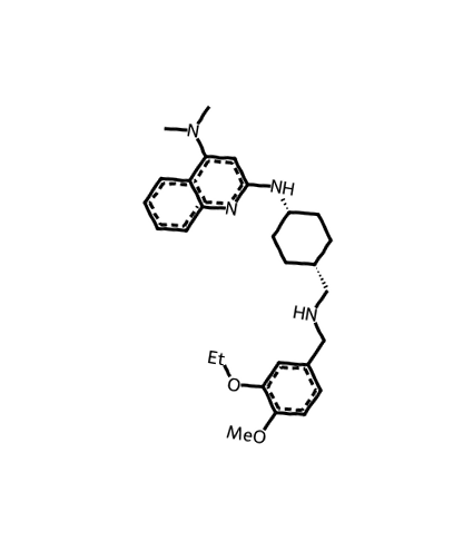 CCOc1cc(CNC[C@H]2CC[C@@H](Nc3cc(N(C)C)c4ccccc4n3)CC2)ccc1OC